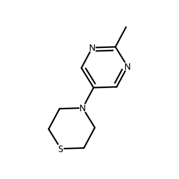 Cc1ncc(N2CCSCC2)cn1